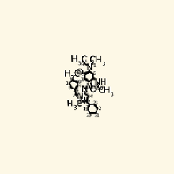 CCN(CC)c1cc(NC(C)=O)c(N=Nc2cc(-c3ccccc3)n(C)[n+]2Cc2ccccc2)cc1OC